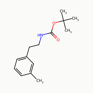 Cc1cccc(CCNC(=O)OC(C)(C)C)c1